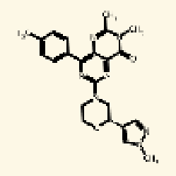 Cc1nc2c(-c3ccc(C(F)(F)F)cc3)nc(N3CCO[C@H](c4cnn(C)c4)C3)nc2c(=O)n1C